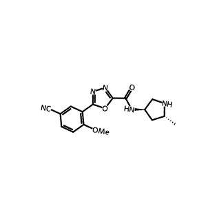 COc1ccc(C#N)cc1-c1nnc(C(=O)N[C@H]2CN[C@H](C)C2)o1